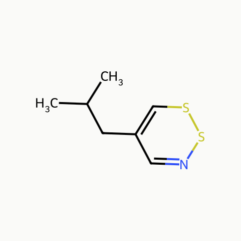 CC(C)CC1=CSSN=C1